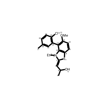 CCN1/C(=C/C(C)O)Sc2ccc(OC)c(-c3cc(C)ccc3Cl)c21